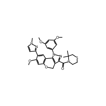 COc1cc(OC)cc(-n2nc(C(=O)N3CCSCC3(C)C)c3c2-c2cc(-c4ccn(C)n4)c(OC)cc2OC3)c1